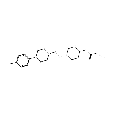 CC(C)(C)OC(=O)N[C@H]1CC[C@H](CCN2CCN(c3ccc(Cl)cc3)CC2)CC1